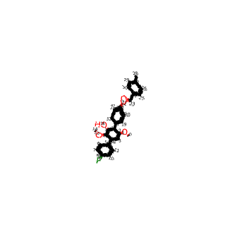 COc1cc(-c2ccc(F)cc2)c(OC)c(O)c1-c1ccc(OCc2ccc(C)cc2)cc1